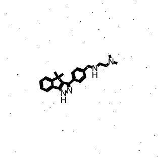 CN(C)CCNCc1ccc(-c2n[nH]c3c2C(C)(C)c2ccccc2-3)cc1